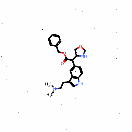 CN(C)CCc1c[nH]c2ccc(C(C(=O)OCc3ccccc3)C3COCN3)cc12